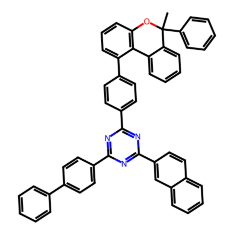 CC1(c2ccccc2)Oc2cccc(-c3ccc(-c4nc(-c5ccc(-c6ccccc6)cc5)nc(-c5ccc6ccccc6c5)n4)cc3)c2-c2ccccc21